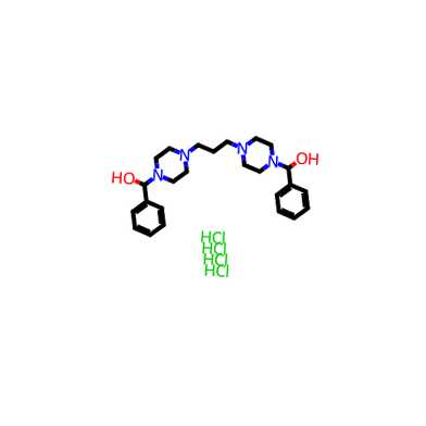 Cl.Cl.Cl.Cl.OC(c1ccccc1)N1CCN(CCCN2CCN(C(O)c3ccccc3)CC2)CC1